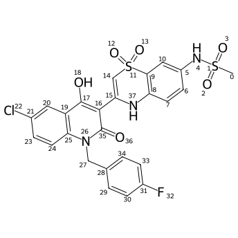 CS(=O)(=O)Nc1ccc2c(c1)S(=O)(=O)C=C(c1c(O)c3cc(Cl)ccc3n(Cc3ccc(F)cc3)c1=O)N2